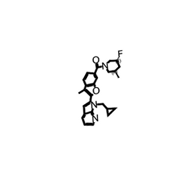 Cc1c(-c2cc3cccnc3n2CC2CC2)oc2cc(C(=O)N3C[C@H](C)C[C@@H](F)C3)ccc12